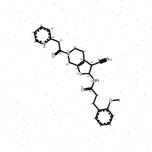 COc1ccccc1CCC(=O)NC1SC2=C(CCN(C(=O)Cc3ccccn3)C2)C1C#N